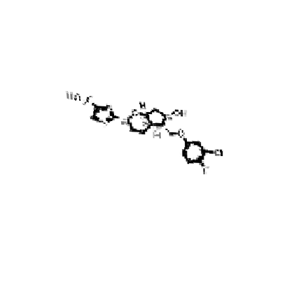 O=C(O)c1csc([C@H]2CC[C@@H]3[C@@H](COc4ccc(Cl)c(Cl)c4)[C@@H](O)C[C@@H]3O2)n1